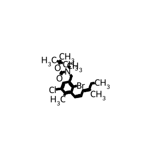 CC/C(C)=C/C=C\c1c(C)c(Cl)cc(CN(C)C(=O)OC(C)(C)C)c1Br